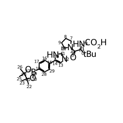 CC(C)(C)[C@H](NC(=O)O)C(=O)N1CCC[C@H]1c1ncc(-c2ccc(B3OC(C)(C)C(C)(C)O3)cc2)[nH]1